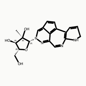 C[C@@]1(O)[C@H](O)[C@@H](CO)O[C@H]1n1cc2ccc3c4c(ncc(n1)c23)NCC=C4